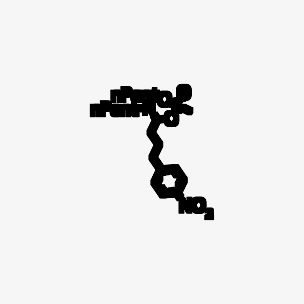 CCCCCN(CCCCC)C(CCCc1ccc([N+](=O)[O-])cc1)OS(C)(=O)=O